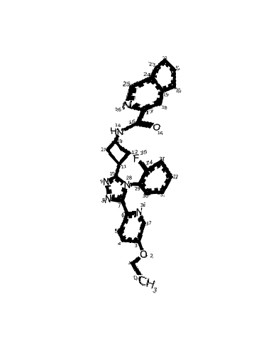 CCOc1ccc(-c2nnc(C3CC(NC(=O)c4cc5ccccc5cn4)C3)n2-c2ccccc2F)nc1